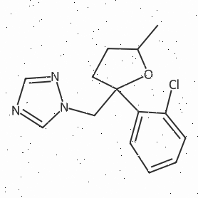 CC1CCC(Cn2cncn2)(c2ccccc2Cl)O1